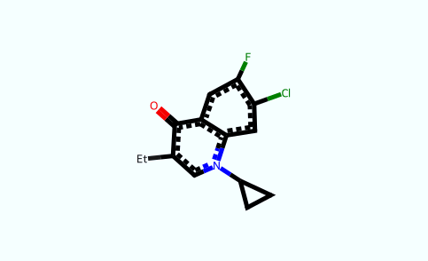 [CH2]Cc1cn(C2CC2)c2cc(Cl)c(F)cc2c1=O